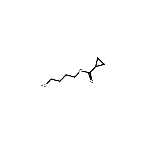 O=C(OCCCCO)C1CC1